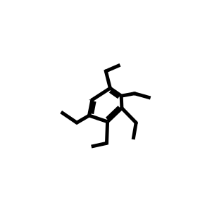 CCc1[c]c(CC)c(CC)c(CC)c1CC